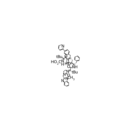 Cn1c(CN2CCN([C@H](C(=O)N[C@@H](Cc3ccccc3)[C@@H](O)C[C@@H](Cc3ccc(-c4ccccn4)cc3)NC(=O)[C@@H](NC(=O)O)C(C)(C)C)C(C)(C)C)C2=O)nc2ccccc21